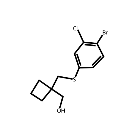 OCC1(CSc2ccc(Br)c(Cl)c2)CCC1